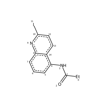 CCC(=O)Nc1cccc2nc(I)ccc12